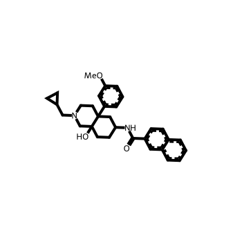 COc1cccc(C23CCN(CC4CC4)CC2(O)CCC(NC(=O)c2ccc4ccccc4c2)C3)c1